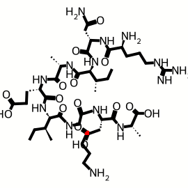 CC[C@H](C)[C@H](NC(=O)[C@H](CC(N)=O)NC(=O)[C@@H](N)CCCNC(=N)N)C(=O)N[C@@H](C)C(=O)N[C@@H](CCC(=O)O)C(=O)N[C@H](C(=O)N[C@@H](CCCCN)C(=O)N[C@@H](CC(=O)O)C(=O)N[C@@H](C)C(=O)O)[C@@H](C)CC